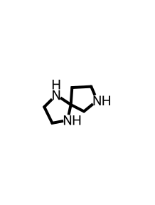 C1CC2(CN1)NCCN2